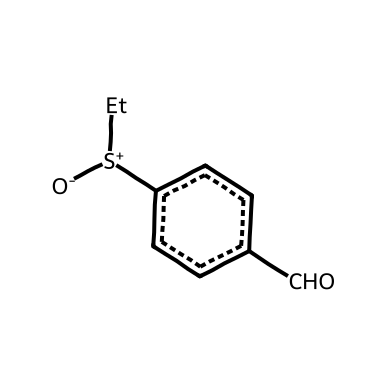 CC[S+]([O-])c1ccc(C=O)cc1